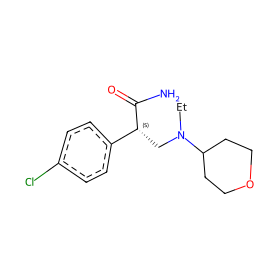 CCN(C[C@@H](C(N)=O)c1ccc(Cl)cc1)C1CCOCC1